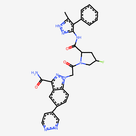 Cc1[nH]nc(NC(=O)C2CC(F)CN2C(=O)Cn2nc(C(N)=O)c3cc(-c4ccnnc4)ccc32)c1-c1ccccc1